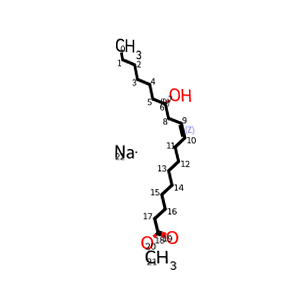 CCCCCC[C@@H](O)C/C=C\CCCCCCCC(=O)OC.[Na]